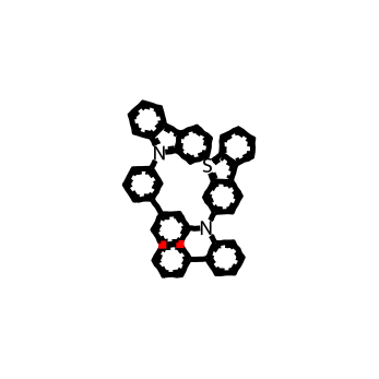 c1ccc(-c2ccccc2N(c2cccc(-c3cccc(-n4c5ccccc5c5ccccc54)c3)c2)c2ccc3c(c2)sc2ccccc23)cc1